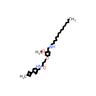 CCCCCCCCCCCCCCCCNCc1ccc(OCCCC(=O)NCc2ccc(C3=CC(C)=C3)cc2)cc1OC